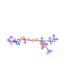 CC(=O)NCCCC[C@H](NC(=O)[C@H](CCCCNC(=O)c1ccc([N+](C)(C)C)c(C#N)c1)NC(=O)CCOCCOCCOCCNC(=O)COc1ccc2c(C(=O)NCC(=O)N3CCC[C@H]3C#N)ccnc2c1)C(=O)OC(C)(C)C